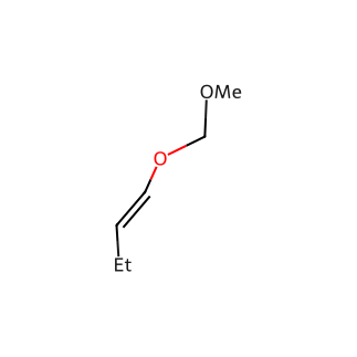 CC/C=C/OCOC